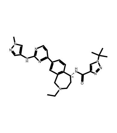 CCN1CC[C@@H](NC(=O)c2cn(C(C)(C)C)nn2)c2ccc(-c3ccnc(Nc4cnn(C)c4)n3)cc2C1